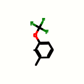 Cc1[c]c(OC(F)(F)F)ccc1